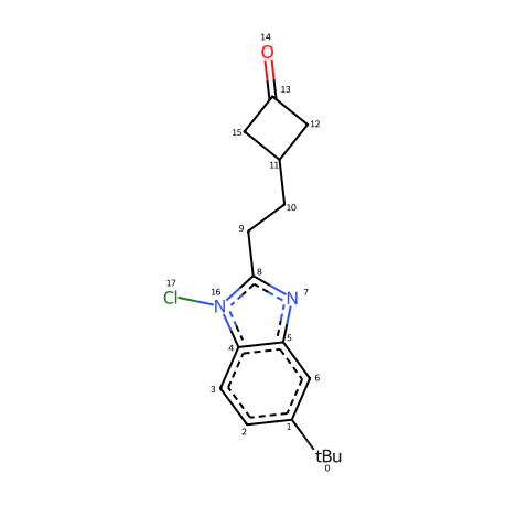 CC(C)(C)c1ccc2c(c1)nc(CCC1CC(=O)C1)n2Cl